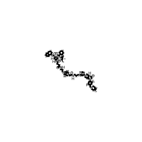 CN[C@@H](C)C(=O)N[C@H](C(=O)N1C[C@@H](NC(=O)CCC(=O)NCCCN2C[C@@H]3CN(CC(=O)NCCCNc4cc(N5CCC6(CC5)CN(c5cc(F)c(CN7CCC(C)(C)CC7)cc5F)CC(=O)N6)ncn4)C[C@@H]3C2)C[C@H]1C(=O)NC1CCCc2ccccc21)C1CCCCC1